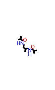 C=C(C)C(=O)NCCC(C)CNC(=O)C(=C)C